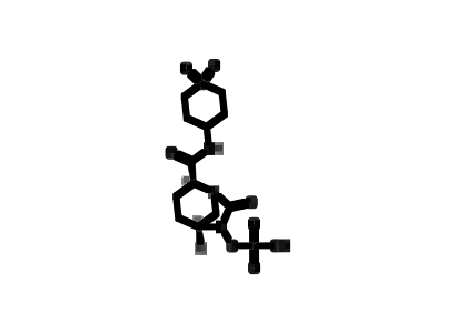 O=C(NC1CCS(=O)(=O)CC1)[C@@H]1CC[C@@H]2CN1C(=O)N2OS(=O)(=O)O